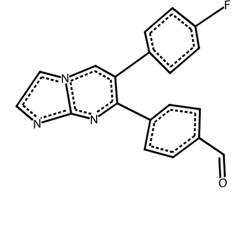 O=Cc1ccc(-c2nc3nccn3cc2-c2ccc(F)cc2)cc1